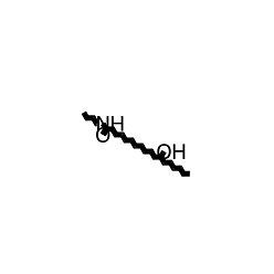 CCCCCCC(O)CCCCCCCCCCC(=O)NCCCC